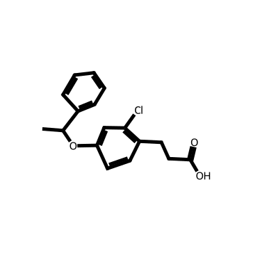 CC(Oc1ccc(CCC(=O)O)c(Cl)c1)c1ccccc1